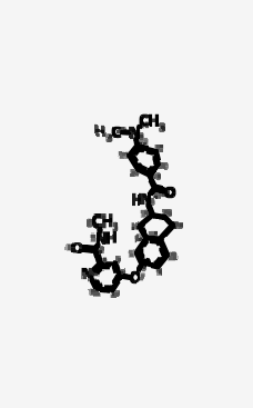 CNC(=O)c1cc(Oc2ccc3c(c2)CC(NC(=O)c2ccc(N(C)C)cc2)CC3)ccn1